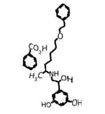 CC(CCCCCOCCc1ccccc1)NCC(O)c1cc(O)cc(O)c1.O=C(O)c1ccccc1